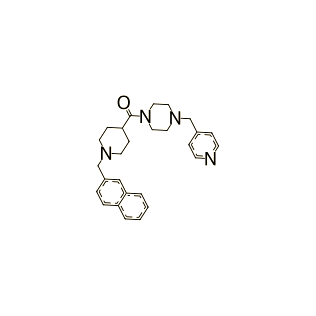 O=C(C1CCN(Cc2ccc3ccccc3c2)CC1)N1CCN(Cc2ccncc2)CC1